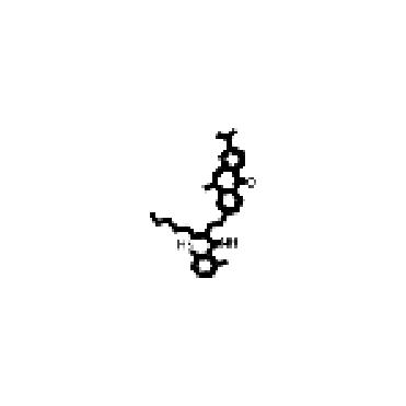 C=C(C)c1ccc2c(=O)c3ccc(CC/C(C(=N)c4c(C)cccc4C)=C(/S)CCCCC)cc3c(C)cc2c1